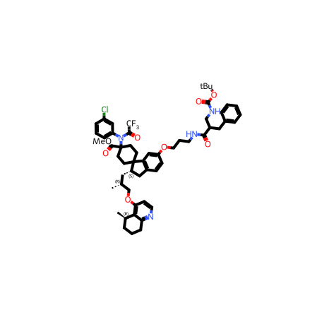 COC(=O)C1(N(C(=O)C(F)(F)F)c2cccc(Cl)c2)CCC2(CC1)c1cc(OCCCNC(=O)C(CNC(=O)OC(C)(C)C)Cc3ccccc3)ccc1C[C@@H]2C[C@@H](C)COc1ccnc2c1[C@H](C)CCC2